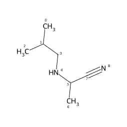 CC(C)CNC(C)C#N